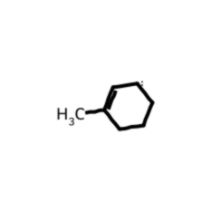 CC1=C[C]CCC1